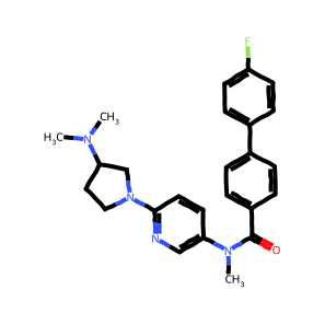 CN(C(=O)c1ccc(-c2ccc(F)cc2)cc1)c1ccc(N2CCC(N(C)C)C2)nc1